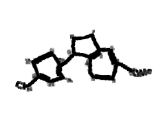 COc1ccc2c(c1)CCC2c1ccc(Cl)cc1